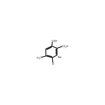 Cc1cc(C(=O)[O-])c(C(=O)O)cc1Cl.[Na+]